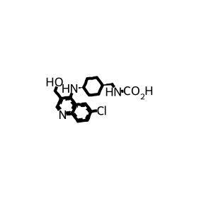 O=C(O)NC[C@H]1CC[C@H](Nc2c(CO)cnc3ccc(Cl)cc23)CC1